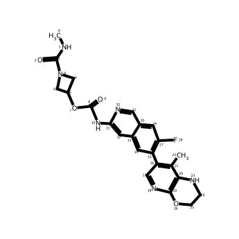 CNC(=O)N1CC(OC(=O)Nc2cc3cc(-c4cnc5c(c4C)NCCO5)c(F)cc3cn2)C1